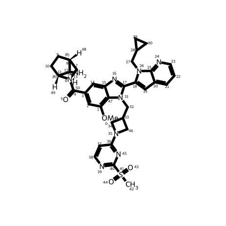 COc1cc(C(=O)N2C[C@H]3CC[C@@H]2[C@@H]3N)cc2nc(-c3cc4cccnc4n3CC3CC3)n(CC3CN(c4ccnc(S(C)(=O)=O)n4)C3)c12